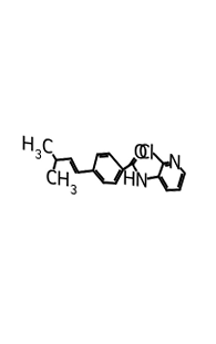 CC(C)/C=C/c1ccc(C(=O)Nc2cccnc2Cl)cc1